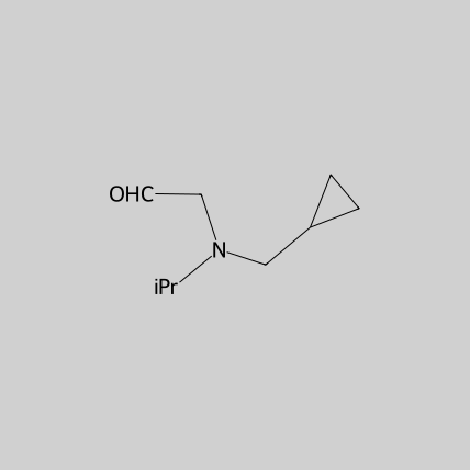 CC(C)N(CC=O)CC1CC1